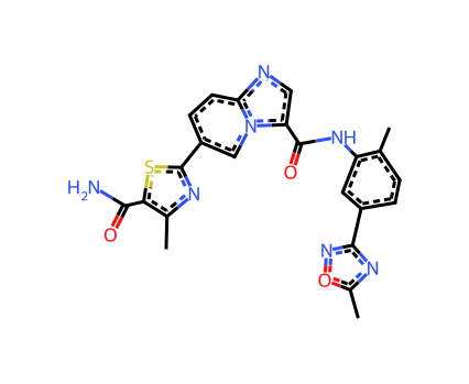 Cc1nc(-c2ccc(C)c(NC(=O)c3cnc4ccc(-c5nc(C)c(C(N)=O)s5)cn34)c2)no1